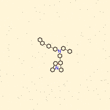 c1ccc(-c2cccc(N(c3ccc(-c4ccc(-c5ccc6ccccc6c5)cc4)cc3)c3ccc(-c4ccc(-c5ccccc5-n5c6ccccc6c6ccccc65)cc4)cc3)c2)cc1